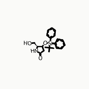 CC(C)(C)[Si](OC1CC(=O)N[C@H]1CO)(c1ccccc1)c1ccccc1